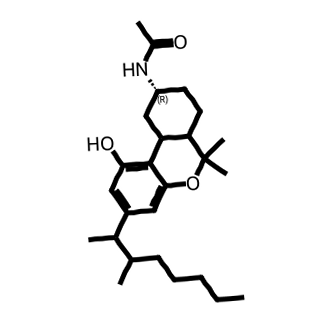 CCCCCC(C)C(C)c1cc(O)c2c(c1)OC(C)(C)C1CC[C@@H](NC(C)=O)CC21